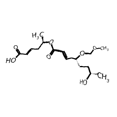 COCO[C@@H](/C=C/C(=O)O[C@H](C)C/C=C/C(=O)O)CC[C@H](C)O